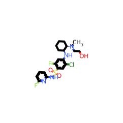 CN(CCO)[C@H]1CCCC[C@@H]1Nc1cc(F)c(S(=O)(=O)Nc2cccc(F)n2)cc1Cl